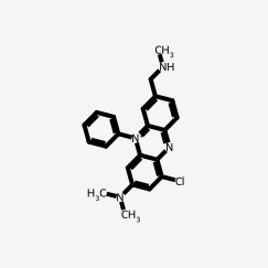 CNCc1ccc2nc3c(Cl)cc(N(C)C)cc3[n+](-c3ccccc3)c2c1